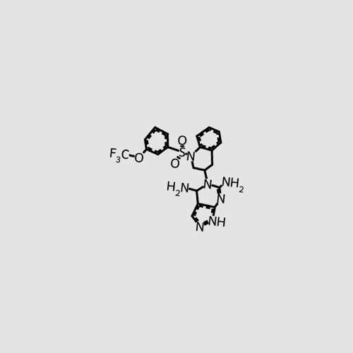 NC1=Nc2[nH]ncc2C(N)N1C1Cc2ccccc2N(S(=O)(=O)c2cccc(OC(F)(F)F)c2)C1